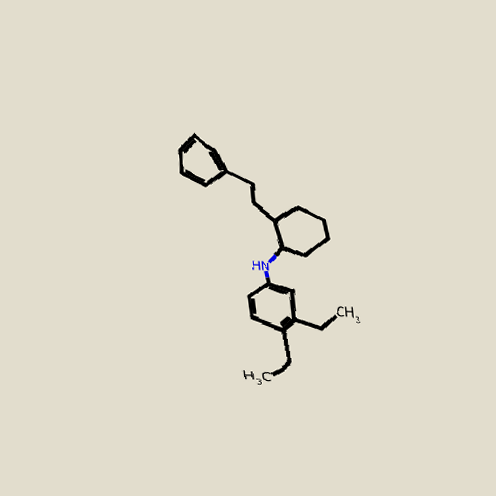 CCc1ccc(NC2CCCCC2CCc2ccccc2)cc1CC